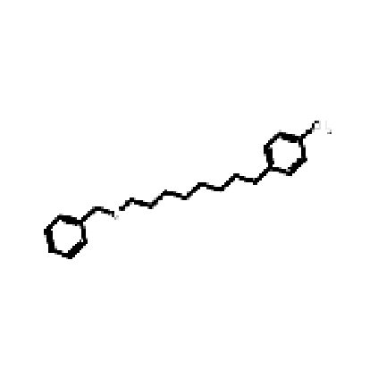 Cc1ccc(CCCCCCCCOCc2ccccc2)cc1